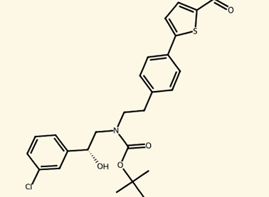 CC(C)(C)OC(=O)N(CCc1ccc(-c2ccc(C=O)s2)cc1)C[C@H](O)c1cccc(Cl)c1